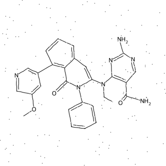 CCN(c1nc(N)ncc1C(N)=O)c1cc2cccc(-c3cncc(OC)c3)c2c(=O)n1-c1ccccc1